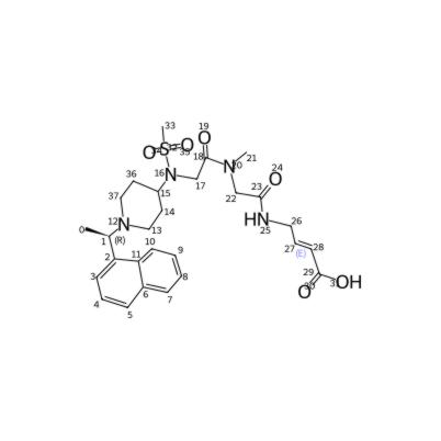 C[C@H](c1cccc2ccccc12)N1CCC(N(CC(=O)N(C)CC(=O)NC/C=C/C(=O)O)S(C)(=O)=O)CC1